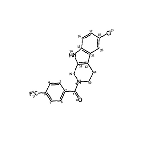 O=C(c1ccc(C(F)(F)F)cc1)N1CCc2c([nH]c3ccc(Cl)cc23)C1